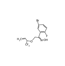 C=CC(OC/C(=N/O)c1cc(Br)ccc1F)C(F)(F)F